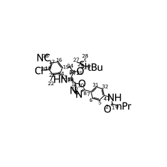 CCCC(=O)Nc1ccc(-c2nnc([C@H](Nc3ccc(C#N)c(Cl)c3C)[C@@H](C)O[Si](C)(C)C(C)(C)C)o2)cc1